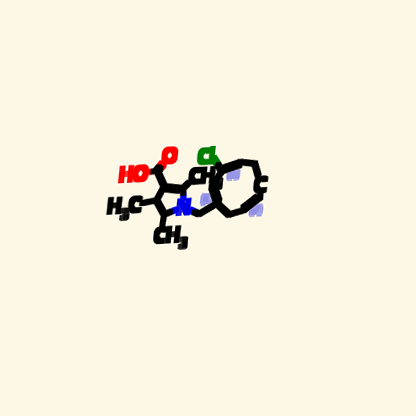 CC1=C(C(=O)O)C(C)C(C)N1C/C1=C/C(Cl)=C\CC/C=C\C1